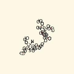 [C-]#[N+]C(C)(CCC(=O)OCCOC(C)OCCOC(C)OCCOC(=O)CCC(C)(C#N)CC(CC(C)(SC(=S)SC(=O)OCc1ccccc1)C(=O)OC1(CC)C2CC3CC(C2)CC1C3)c1ccc(OC(C)=O)cc1)CC(CC(C)(SC(=S)SC(=O)OCc1ccccc1)C(=O)OC1(CC)C2CC3CC(C2)CC1C3)c1ccc(OC(C)=O)cc1